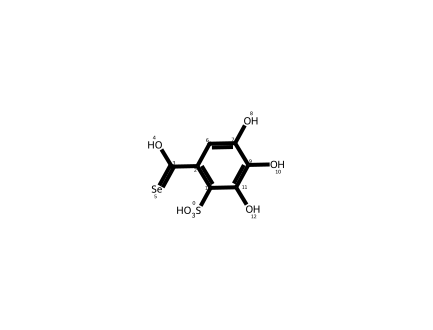 O=S(=O)(O)c1c(C(O)=[Se])cc(O)c(O)c1O